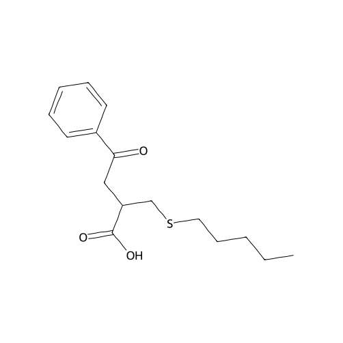 CCCCCSCC(CC(=O)c1ccccc1)C(=O)O